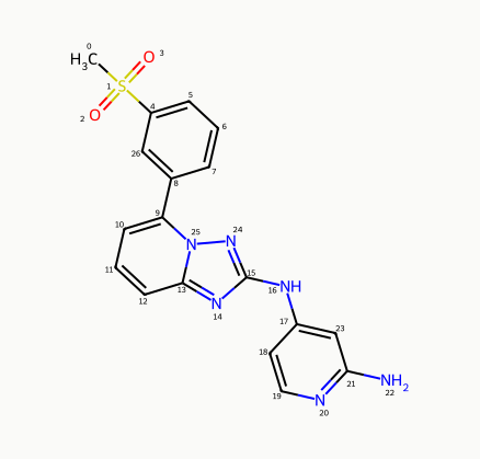 CS(=O)(=O)c1cccc(-c2cccc3nc(Nc4ccnc(N)c4)nn23)c1